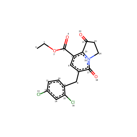 CCOC(=O)c1cc(Cc2ccc(Cl)cc2Cl)c(=O)n2c1C(=O)CC2